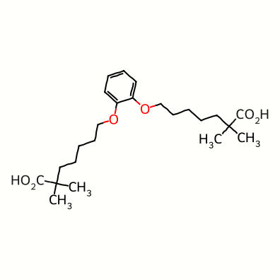 CC(C)(CCCCCOc1ccccc1OCCCCCC(C)(C)C(=O)O)C(=O)O